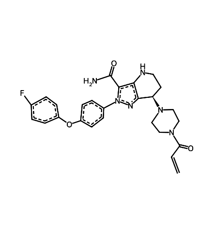 C=CC(=O)N1CCN([C@@H]2CCNc3c2nn(-c2ccc(Oc4ccc(F)cc4)cc2)c3C(N)=O)CC1